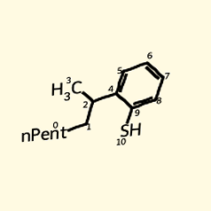 CCCCCCC(C)c1ccccc1S